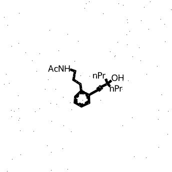 CCCC(O)(C#Cc1ccccc1CCCNC(C)=O)CCC